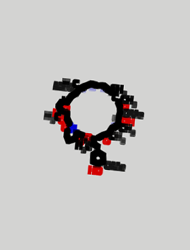 CO[C@H]1C[C@@H]2CC[C@@H](C)[C@@](O)(O2)C(=O)C(=O)N2CCCC[C@@]2(C)C(=O)O[C@H]([C@H](C)C[C@@H]2CC[C@@H](O)[C@H](OC)C2)CC(=O)[C@H](C)/C=C(\C)[C@@H](O)[C@@H](OC)C(=O)[C@H](C)C[C@H](C)/C=C/C=C/C=C/1C